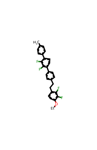 CCOc1ccc(CCc2ccc(-c3ccc(-c4ccc(C)cc4)c(F)c3F)cc2)c(F)c1F